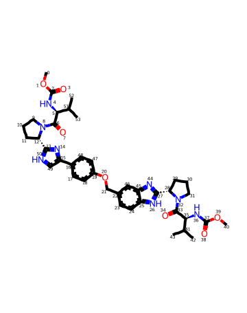 COC(=O)N[C@H](C(=O)N1CCC[C@H]1c1nc(-c2ccc(OCc3ccc4[nH]c([C@@H]5CCCN5C(=O)[C@@H](NC(=O)OC)C(C)C)nc4c3)cc2)c[nH]1)C(C)C